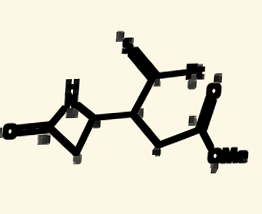 CCC(=S)C(CC(=O)OC)C1CC(=O)N1